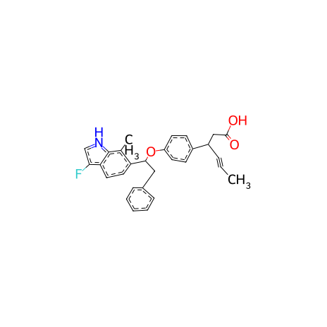 CC#CC(CC(=O)O)c1ccc(OC(Cc2ccccc2)c2ccc3c(F)c[nH]c3c2C)cc1